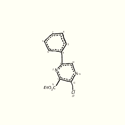 CCOC(=O)c1nc(-c2ccccc2)cnc1Cl